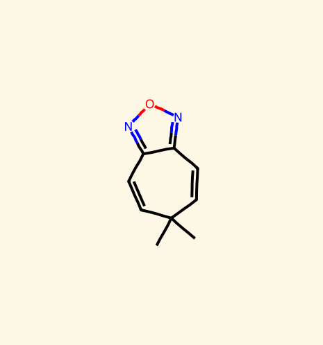 CC1(C)C=Cc2nonc2C=C1